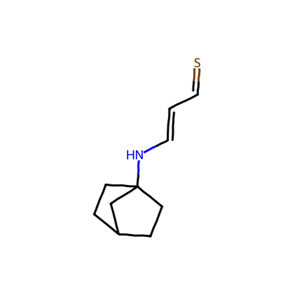 S=CC=CNC12CCC(CC1)C2